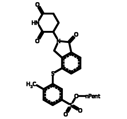 CCCCCOS(=O)(=O)c1ccc(C)c(Sc2cccc3c2CN(C2CCC(=O)NC2=O)C3=O)c1